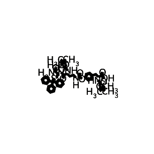 CC(C)(C)OC(=O)NC(Cc1ccc(OC(=O)NCCC(NC(=O)OC(C)(C)C)C(=O)NC(CSC(c2ccccc2)(c2ccccc2)c2ccccc2)C(N)=O)cc1)C(=O)O